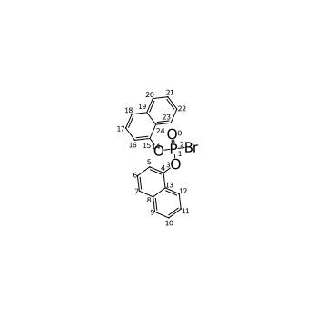 O=P(Br)(Oc1cccc2ccccc12)Oc1cccc2ccccc12